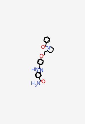 NC(=O)c1ccc2[nH]c(-c3ccc(OCCC4CCCCN4C(=O)c4ccccc4)cc3)nc2c1